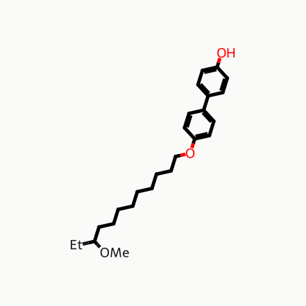 CCC(CCCCCCCCCOc1ccc(-c2ccc(O)cc2)cc1)OC